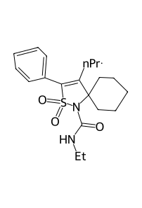 CC[CH]C1=C(c2ccccc2)S(=O)(=O)N(C(=O)NCC)C12CCCCC2